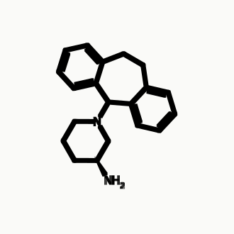 N[C@H]1CCCN(C2c3ccccc3CCc3ccccc32)C1